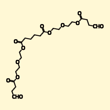 O=CCCC(=O)OCCOCCOC(=O)CCCCC(=O)OCCOCCOC(=O)CCC=O